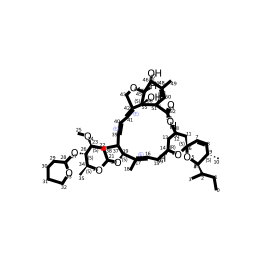 CCC(C)[C@H]1O[C@]2(C=C[C@@H]1C)C[C@@H]1C[C@@H](C/C=C(\C)[C@@H](OC3C[C@H](OC)[C@@H](OC4CCCCO4)[C@H](C)O3)C(C)/C=C/C=C3\CO[C@@H]4[C@H](O)C(C)=C[C@@H](C(=O)O1)[C@]34O)O2